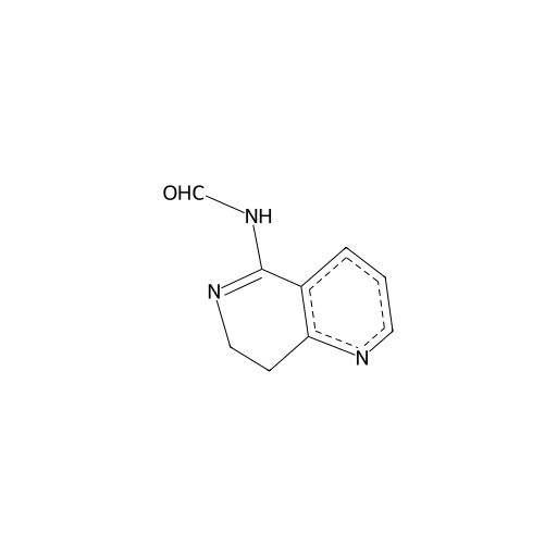 O=CNC1=NCCc2ncccc21